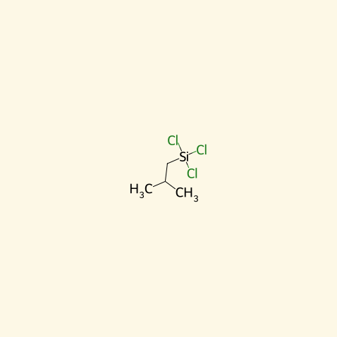 CC(C)C[Si](Cl)(Cl)Cl